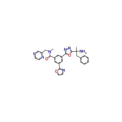 CN(Cc1cnccn1)C(=O)c1cc(-c2ncco2)cc(-c2nnc(C(C)(N)Cc3ccccc3)o2)c1